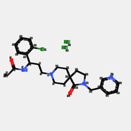 CC(C)C(=O)NC(CCN1CCC2(CC1)CCN(Cc1cccnc1)C2=O)c1ccccc1Cl.Cl.Cl